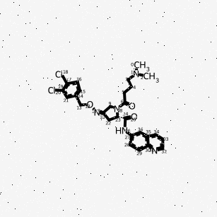 CN(C)CCCC(=O)N1CC(=NOCc2ccc(Cl)c(Cl)c2)C[C@H]1C(=O)Nc1ccc2ncccc2c1